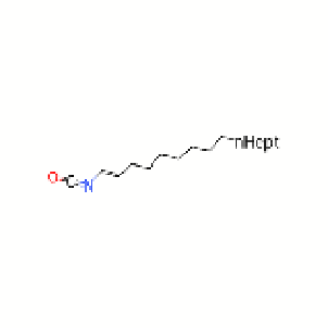 CCCCCCCCCCCCCC/C=C/N=C=O